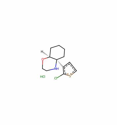 Cl.Clc1sccc1[C@@]12CCCC[C@@H]1OCCN2